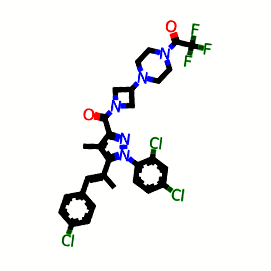 CC(=Cc1ccc(Cl)cc1)c1c(C)c(C(=O)N2CC(N3CCN(C(=O)C(F)(F)F)CC3)C2)nn1-c1ccc(Cl)cc1Cl